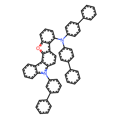 c1ccc(-c2ccc(N(c3ccc(-c4ccccc4)cc3)c3cccc4oc5c(ccc6c5c5ccccc5n6-c5cccc(-c6ccccc6)c5)c34)cc2)cc1